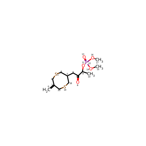 C=C1CSCC(CC(=O)C(C)OP(=O)(OC)OC)CSC1